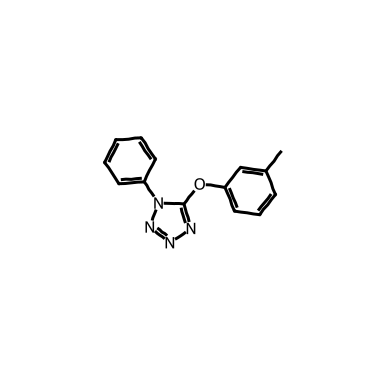 Cc1cccc(Oc2nnnn2-c2ccccc2)c1